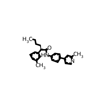 CCCC[C@@H](C(=O)Nc1ccc(-c2ccnc(C)c2)cc1)c1cccc(C)c1